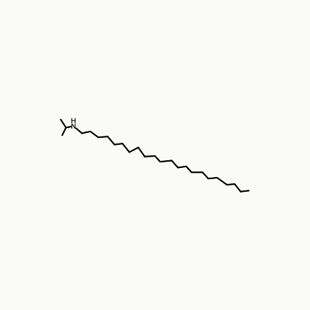 CCCCCCCCCCCCCCCCCCCCCCNC(C)C